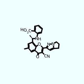 Cc1cc([C@@H](C)Nc2ccccc2C(=O)O)c2oc(-c3cc4n(n3)CCC4)c(C#N)c(=O)c2c1